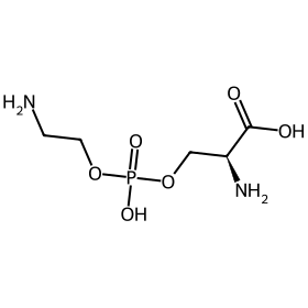 NCCOP(=O)(O)OC[C@H](N)C(=O)O